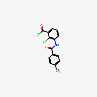 O=C(Nc1cccc(C(=O)Cl)c1Cl)c1ccc(C(F)(F)F)cc1